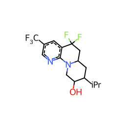 CC(C)C1CC2CC(F)(F)c3cc(C(F)(F)F)cnc3N2CC1O